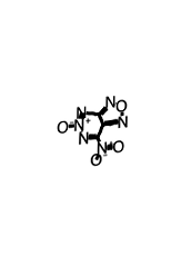 O=[N+]([O-])c1n[n+]([O-])nc2nonc12